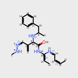 C=C(/C=N\NC)[C@@H](NC(C)Cc1ccccc1)C(=O)NC(=C/C)/N=C\C=C/C